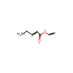 C=COC(=O)C=CC[SiH3]